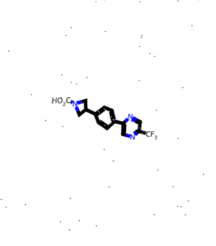 O=C(O)N1CC(c2ccc(-c3cnc(C(F)(F)F)cn3)cc2)C1